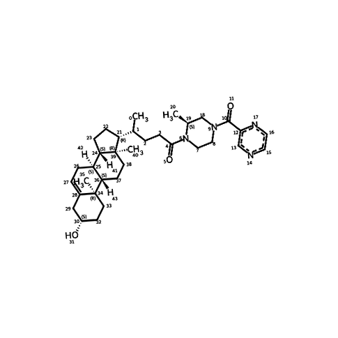 CC(CCC(=O)N1CCN(C(=O)c2cnccn2)C[C@@H]1C)[C@H]1CC[C@H]2[C@@H]3CC=C4C[C@@H](O)CC[C@]4(C)[C@H]3CC[C@]12C